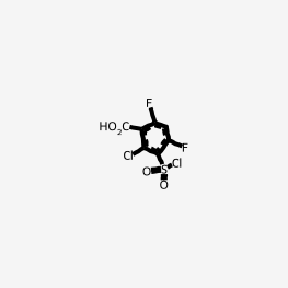 O=C(O)c1c(F)cc(F)c(S(=O)(=O)Cl)c1Cl